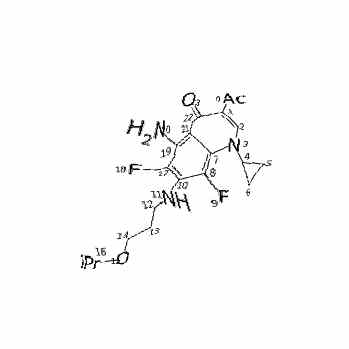 CC(=O)c1cn(C2CC2)c2c(F)c(NCCCOC(C)C)c(F)c(N)c2c1=O